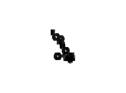 Cn1nnc(-c2ccc(OCc3ccc4cc(F)ccc4n3)cc2C(c2ccccc2)C(C)(C)C)n1